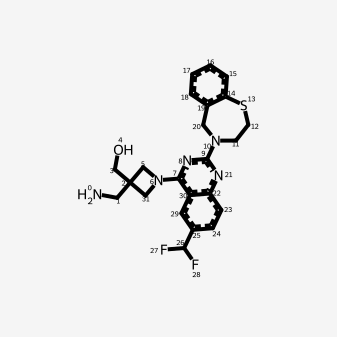 NCC1(CO)CN(c2nc(N3CCSc4ccccc4C3)nc3ccc(C(F)F)cc23)C1